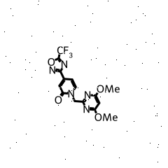 COc1cc(OC)nc(Cn2ccc(-c3noc(C(F)(F)F)n3)cc2=O)n1